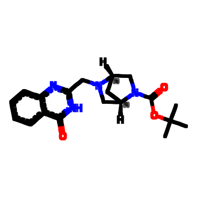 CC(C)(C)OC(=O)N1C[C@@H]2C[C@H]1CN2Cc1nc2ccccc2c(=O)[nH]1